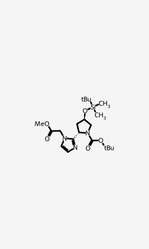 COC(=O)Cn1ccnc1[C@@H]1C[C@@H](O[Si](C)(C)C(C)(C)C)CN1C(=O)OC(C)(C)C